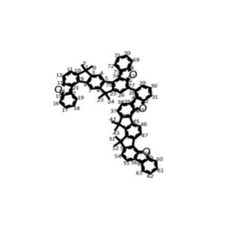 CC1(C)c2cc3c(cc2-c2c1ccc1oc4ccccc4c21)C(C)(C)c1cc(-c2cccc4oc5c6c(ccc5c24)C(C)(C)c2c-6ccc4c2C(C)(C)c2ccc5c(oc6ccccc65)c2-4)c2oc4ccccc4c2c1-3